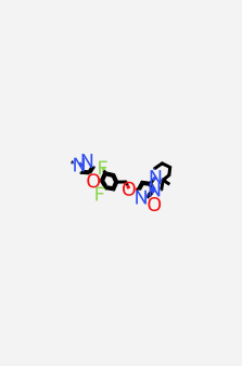 Cn1cc(Oc2c(F)cc(COc3cc4n(c(=O)n3)CC3(C)CCCCN43)cc2F)cn1